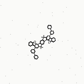 CC1(C)c2cc3c(cc2-c2c1cc(-c1cccc(-c4ccccc4)c1)c1c2oc2ccccc21)C(C)(C)c1cc(-c2cccc(-c4ccccc4)c2)c2c(oc4ccccc42)c1-3